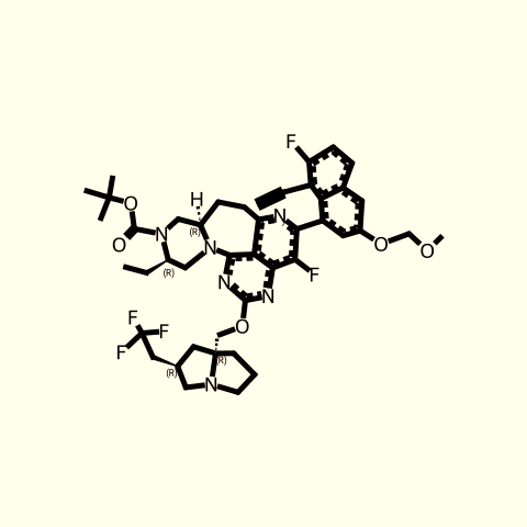 C#Cc1c(F)ccc2cc(OCOC)cc(-c3nc4c5c(nc(OC[C@]67CCCN6C[C@@H](CC(F)(F)F)C7)nc5c3F)N3C[C@@H](CC)N(C(=O)OC(C)(C)C)C[C@H]3CC4)c12